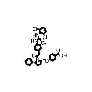 COc1cc(CC(=O)N2[C@H](COc3ccc(C(=O)O)cc3)CC[C@@H]2c2ccccc2)ccc1NC(=O)Nc1c(Cl)cccc1Cl